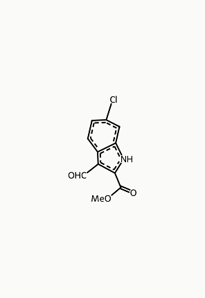 COC(=O)c1[nH]c2cc(Cl)ccc2c1C=O